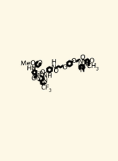 CO[C@@H]1COCC[C@@H]1N[C@@H]1CC[C@@](C(=O)N2Cc3cc(C(F)(F)F)cnc3[C@@H](NC(=O)[C@H]3CC[C@H](NC(=O)CCCO[C@H]4CC[C@H](OCCNC(=O)[C@H]5CC(=O)N(C)[C@@H]5c5cccnc5)CC4)CC3)C2)(C(C)C)C1